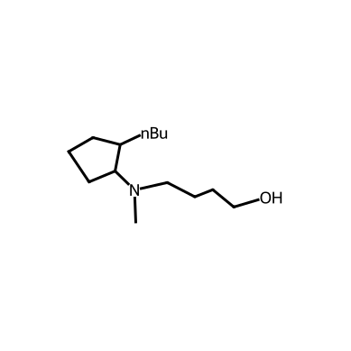 CCCCC1CCCC1N(C)CCCCO